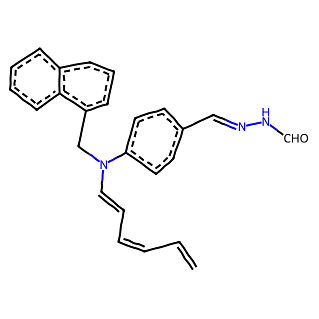 C=C/C=C\C=C\N(Cc1cccc2ccccc12)c1ccc(/C=N/NC=O)cc1